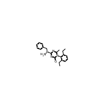 CCc1cccc(CC)c1-n1c(C)nc(N(N)Cc2ccccc2)nc1=O